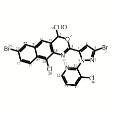 O=CC1OC(c2cc(Br)nn2-c2ncccc2Cl)=Nc2c1cc1cc(Br)ccc1c2Cl